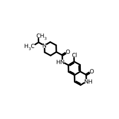 CC(C)N1CCC(C(=O)Nc2cc3cc[nH]c(=O)c3cc2Cl)CC1